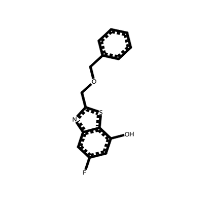 Oc1cc(F)cc2nc(COCc3ccccc3)sc12